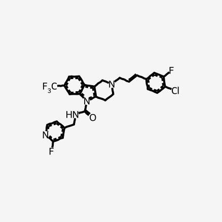 O=C(NCc1ccnc(F)c1)n1c2c(c3ccc(C(F)(F)F)cc31)CN(CC=Cc1ccc(Cl)c(F)c1)CC2